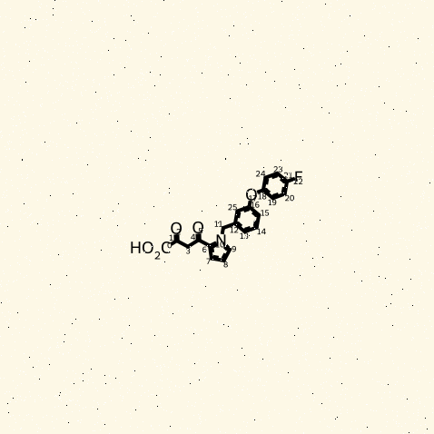 O=C(O)C(=O)CC(=O)c1cccn1Cc1cccc(Oc2ccc(F)cc2)c1